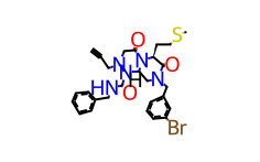 C#CCN1CC(=O)N2[C@@H](CCSC)C(=O)N(Cc3cccc(Br)c3)C[C@@H]2N1C(=O)NCc1ccccc1